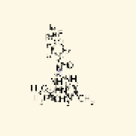 Cc1cc(N/C(=N\C(=O)c2ccc(C(F)(F)F)cc2)NCC(C)(C)C)[nH]n1